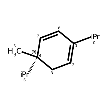 CC(C)C1=CC[C@](C)(C(C)C)C=C1